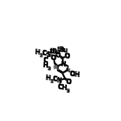 CN(C)C(=O)C1=C[C@@H](CO[Si](C)(C)C(C)(C)C)N(C(=O)OC(C)(C)C)C[C@@H]1O